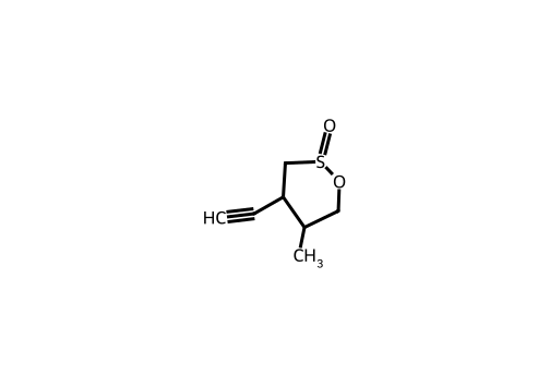 C#CC1CS(=O)OCC1C